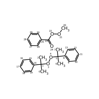 CC(C)(OOC(C)(C)c1ccccc1)c1ccccc1.COOC(=O)c1ccccc1